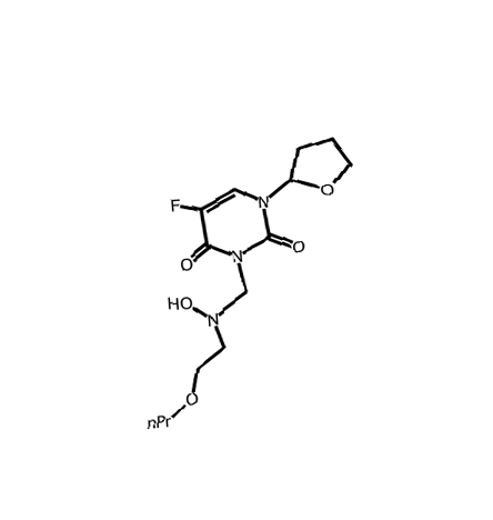 CCCOCCN(O)Cn1c(=O)c(F)cn(C2CCCO2)c1=O